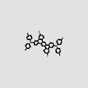 Cc1ccc(N(c2ccc(C)cc2)c2ccc3c(c2)c2cc(F)ccc2c2cc4c5ccc(N(c6ccc(C)cc6)c6ccc(C)cc6)cc5c5cc(F)ccc5c4cc32)cc1